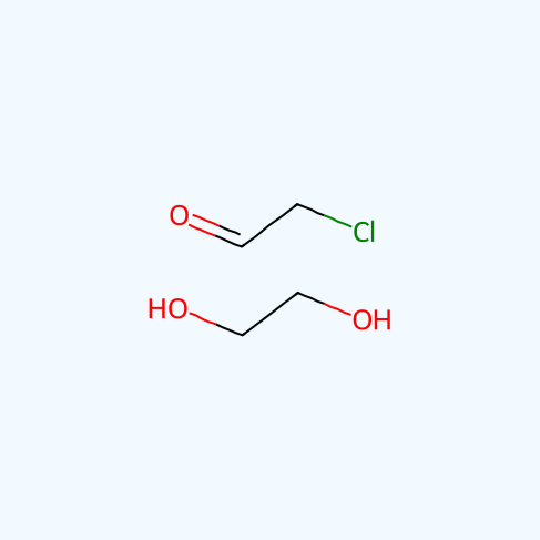 O=CCCl.OCCO